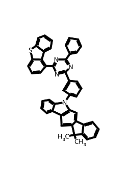 CC1(C)c2ccccc2-c2cc3c(cc21)c1ccccc1n3-c1cccc(-c2nc(-c3ccccc3)nc(-c3cccc4sc5ccccc5c34)n2)c1